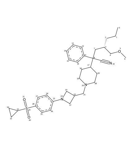 CCC[C@H](COC)CC(C#N)(c1ccccc1)C1CCN(CC2CN(c3ccc(S(=O)(=O)C4CC4)cc3)C2)CC1